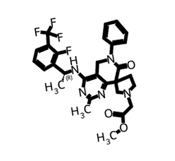 COC(=O)CN1CCC2(C1)C(=O)N(c1ccccc1)Cc1c(N[C@H](C)c3cccc(C(F)(F)F)c3F)nc(C)nc12